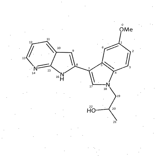 COc1ccc2c(c1)c(-c1cc3cccnc3[nH]1)cn2CC(C)O